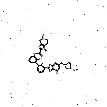 CCN1CCc2c(nc(C(=O)Nc3cccc(-c4cccc(-c5nc6cc(CN7CCC(C(=O)O)C7)cc(C#N)c6o5)c4C)c3Cl)n2C)C1